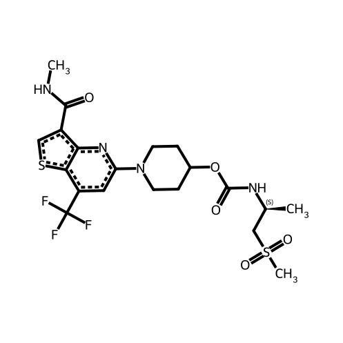 CNC(=O)c1csc2c(C(F)(F)F)cc(N3CCC(OC(=O)N[C@@H](C)CS(C)(=O)=O)CC3)nc12